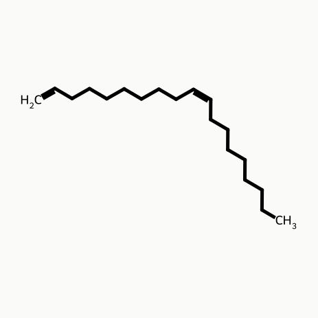 C=CCCCCCCC/C=C\CCCCCCCC